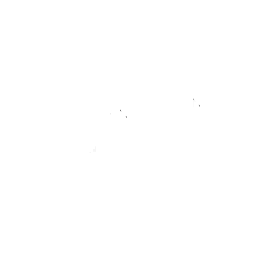 CC(C#N)CC(C)(C#N)[Si](C)(F)F